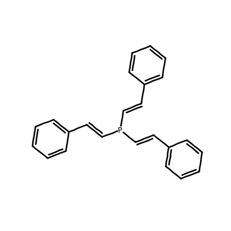 C(=CP(C=Cc1ccccc1)C=Cc1ccccc1)c1ccccc1